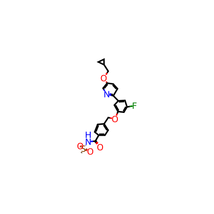 CS(=O)(=O)NC(=O)c1ccc(COc2cc(F)cc(-c3ccc(OCC4CC4)cn3)c2)cc1